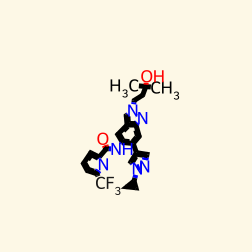 CC(C)(O)CCn1cc2cc(NC(=O)c3cccc(C(F)(F)F)n3)c(-c3cnn(C4CC4)c3)cc2n1